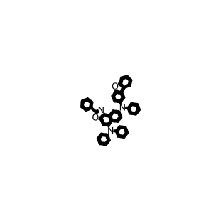 c1ccc(-c2nc3c(cc(N(c4ccccc4)c4ccccc4)c4ccc(N(c5ccccc5)c5ccc6oc7ccccc7c6c5)cc43)o2)cc1